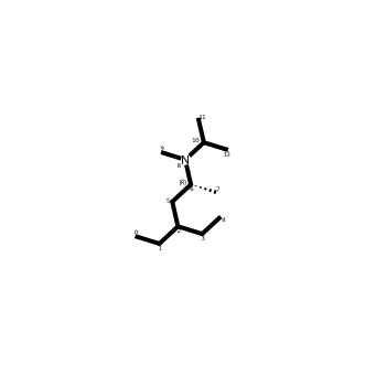 CCC(CC)C[C@@H](C)N(C)C(C)C